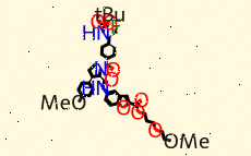 COCCOCCCOC(=O)c1cc2cc(NC(=O)[C@H]3[C@@H](C4CCC(OC)CC4)CCN3C(=O)[C@H]3CC[C@H]([C@@H](CF)NC(=O)OC(C)(C)C)CC3)ccc2o1